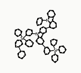 c1ccc(-c2cccc([Si](c3ccccc3)(c3ccccc3)c3cccc(-n4c5ccc(-c6cccc([Si](c7ccccc7)(c7ccccc7)c7ccccc7)c6)cc5c5cc(-c6cccc7c8ccccc8n(-c8ccccc8)c67)ccc54)c3)c2)cc1